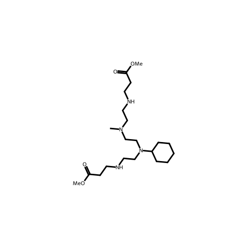 COC(=O)CCNCCN(C)CCN(CCNCCC(=O)OC)C1CCCCC1